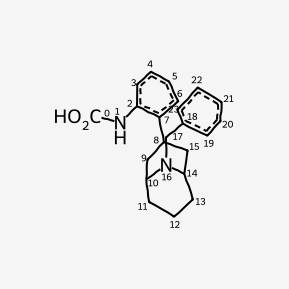 O=C(O)Nc1ccccc1C1CC2CCCC(C1)N2Cc1ccccc1